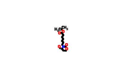 CC(C)OC(=O)CCCCCCN1C(=O)OCC[C@@H]1C=O